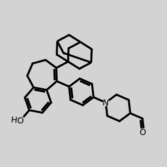 O=CC1CCN(c2ccc(C3=C(C45CC6CC(CC(C6)C4)C5)CCCc4cc(O)ccc43)cc2)CC1